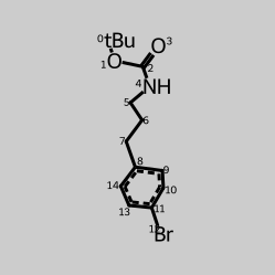 CC(C)(C)OC(=O)NCCCc1ccc(Br)cc1